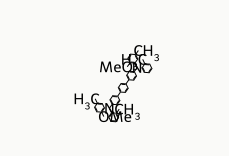 COc1ccc(C)cc1N(c1ccc(-c2ccc(-c3ccc(N(c4ccccc4C)c4cc(C)ccc4OC)cc3)cc2)cc1)c1ccccc1C